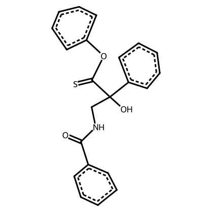 O=C(NCC(O)(C(=S)Oc1ccccc1)c1ccccc1)c1ccccc1